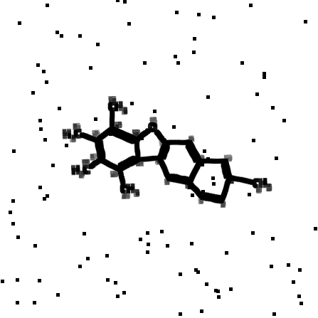 Cc1ccc2cc3c(cc2c1)oc1c(C)c(C)c(C)c(C)c13